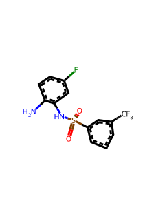 Nc1ccc(F)cc1NS(=O)(=O)c1cccc(C(F)(F)F)c1